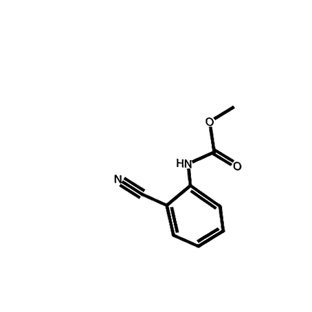 COC(=O)Nc1ccccc1C#N